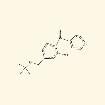 CC(C)(C)OCc1ccc(C(=O)c2ccccc2)c(N)c1